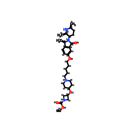 C=C1CCC(N2C(=C)c3ccc(OCCCCCN4CCC(OC5CN(C(=O)OC(C)(C)C)C5)CC4)cc3C2=O)C(=C)N1